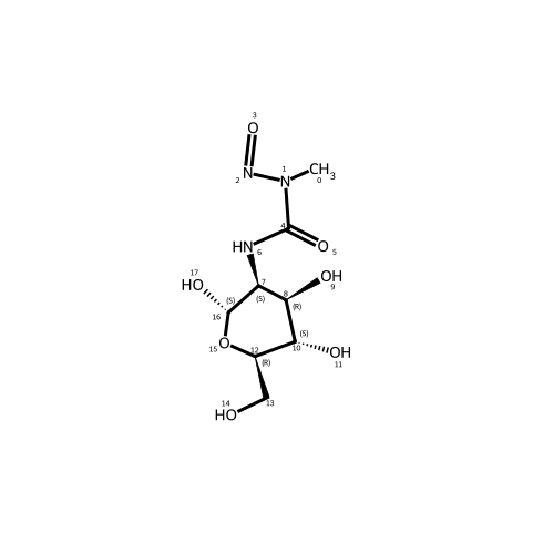 CN(N=O)C(=O)N[C@H]1[C@@H](O)[C@H](O)[C@@H](CO)O[C@@H]1O